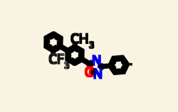 Cc1cc(-c2nc(-c3cc[c]cc3)no2)ccc1-c1ccccc1C(F)(F)F